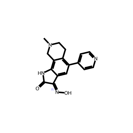 CN1CCc2c(-c3ccncc3)cc3c(c2C1)NC(=O)/C3=N/O